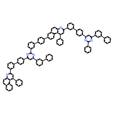 c1ccc(-c2cccc(-c3cc(-c4ccc(-c5cccc(-c6cc(-c7ccccc7)c7c(ccc8cc(-c9ccc(-c%10cccc(-c%11nc(-c%12ccc(-c%13cccc(-c%14cc(-c%15ccccc%15)c%15c(ccc%16ccccc%16%15)n%14)c%13)cc%12)cc(-c%12cccc(-c%13ccccc%13)c%12)n%11)c%10)cc9)ccc87)n6)c5)cc4)nc(-c4ccccc4)n3)c2)cc1